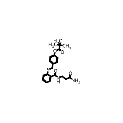 CC(C)(C)C(=O)Oc1ccc(CSc2ccccc2C(=O)NCCC(N)=O)cc1